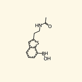 CC(=O)NCCc1cc2cccc(BO)c2s1